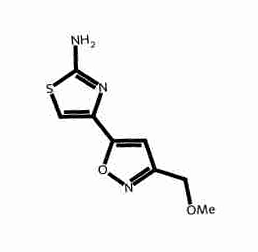 COCc1cc(-c2csc(N)n2)on1